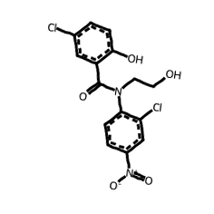 O=C(c1cc(Cl)ccc1O)N(CCO)c1ccc([N+](=O)[O-])cc1Cl